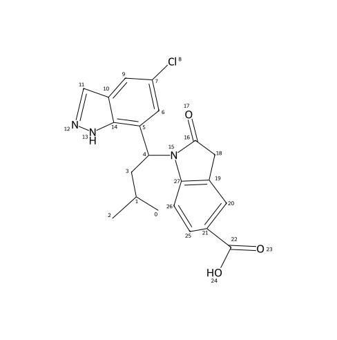 CC(C)CC(c1cc(Cl)cc2cn[nH]c12)N1C(=O)Cc2cc(C(=O)O)ccc21